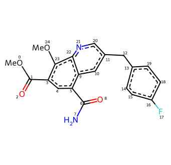 COC(=O)c1cc(C(N)=O)c2cc(Cc3ccc(F)cc3)cnc2c1OC